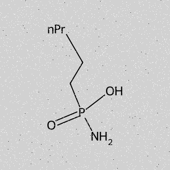 CCCCCP(N)(=O)O